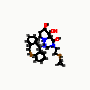 O=C1c2c(O)c(=O)ccn2N([C@H]2c3ccccc3CSc3ccccc32)CN1CCSC1CC1